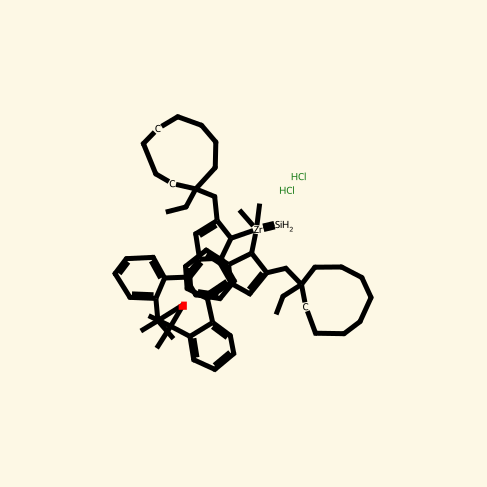 CCC1(CC2=Cc3c(-c4ccccc4C(C)(C)C)cccc3[CH]2[Zr]([CH3])([CH3])(=[SiH2])[CH]2C(CC3(CC)CCCCCCCC3)=Cc3c(-c4ccccc4C(C)(C)C)cccc32)CCCCCCCC1.Cl.Cl